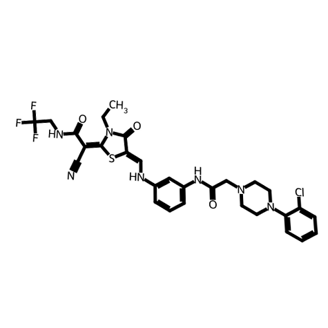 CCn1c(=C(C#N)C(=O)NCC(F)(F)F)sc(=CNc2cccc(NC(=O)CN3CCN(c4ccccc4Cl)CC3)c2)c1=O